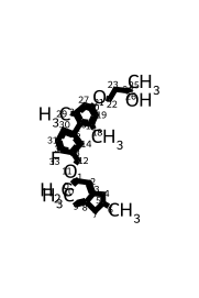 C=C(/C=C1/CC(C)C/C1=C/C)OCc1cc(-c2c(C)cc(OCCC(C)O)cc2C)ccc1F